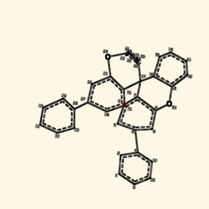 c1ccc(-c2ccc3c(c2)Oc2ccccc2C32c3ccccc3Oc3cc(-c4ccccc4)ccc32)cc1